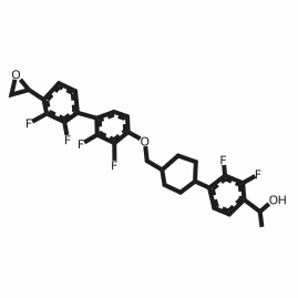 CC(O)c1ccc(C2CCC(COc3ccc(-c4ccc(C5CO5)c(F)c4F)c(F)c3F)CC2)c(F)c1F